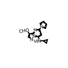 O=Cc1cnn2c(NC3CC3)cc(-n3cccc3)nc12